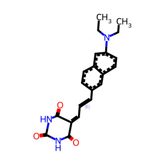 CCN(CC)c1ccc2cc(/C=C/C=C3C(=O)NC(=O)NC3=O)ccc2c1